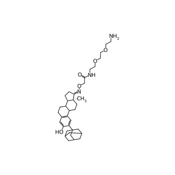 C[C@]12CCC3c4cc(C56CC7CC(CC(C7)C5)C6)c(O)cc4CCC3C1CC/C2=N\OCC(=O)NCCOCCOCCN